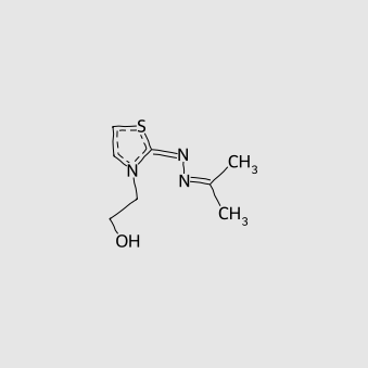 CC(C)=NN=c1sccn1CCO